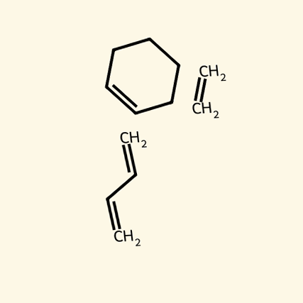 C1=CCCCC1.C=C.C=CC=C